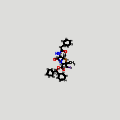 CC1(CI)S[C@H]2C(NC(=O)Cc3ccccc3)C(=O)N2C1C(=O)OC(c1ccccc1)c1ccccc1